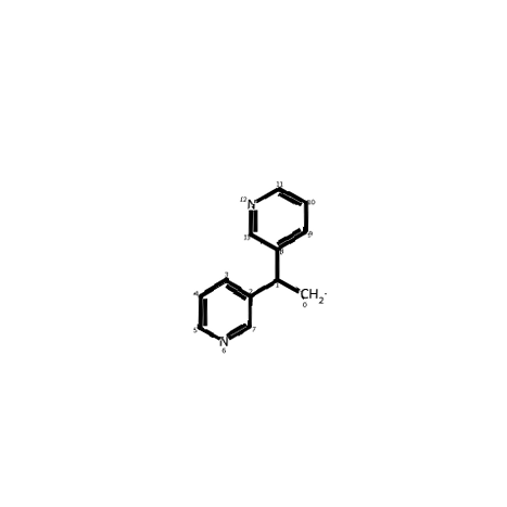 [CH2]C(c1cccnc1)c1cccnc1